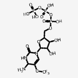 NC1NC(=O)N(C2OC(COP(=O)(O)OP(=O)(O)OP(=O)(O)O)C(O)C2O)C=C1OC(F)(F)F